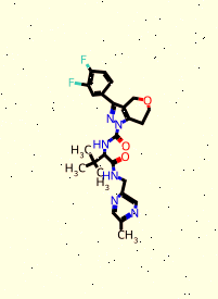 Cc1cnc(CNC(=O)C(NC(=O)n2nc(-c3ccc(F)c(F)c3)c3c2CCOC3)C(C)(C)C)cn1